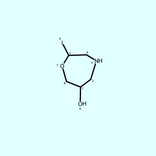 OC1CNCC(I)OC1